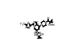 COC1(C(=O)N2CCN(c3cc(S(=O)(=O)NC4(C#N)CC4)cn4c(-c5nnc(C(F)(F)F)s5)ncc34)CC2)CC1